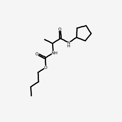 CCCCOC(=O)NC(C)C(=O)NC1CCCC1